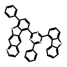 c1ccc(-c2nc(-c3cccc4sc5ccccc5c34)nc(-c3ccc(-c4ccccc4)c4oc5cc6ncccc6cc5c34)n2)cc1